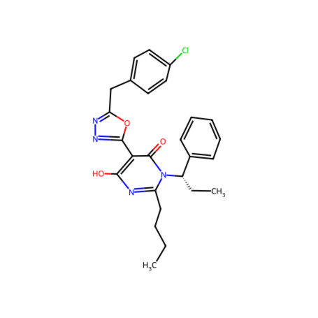 CCCCc1nc(O)c(-c2nnc(Cc3ccc(Cl)cc3)o2)c(=O)n1[C@@H](CC)c1ccccc1